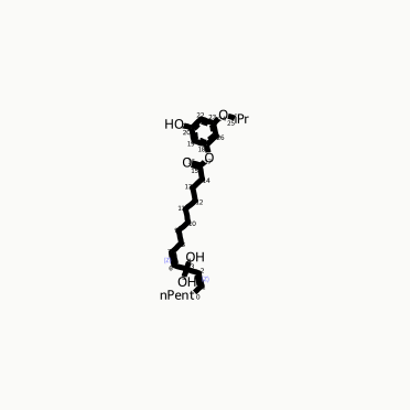 CCCCC/C=C\C(O)(O)/C=C\CCCCCCCC(=O)Oc1cc(O)cc(OC(C)C)c1